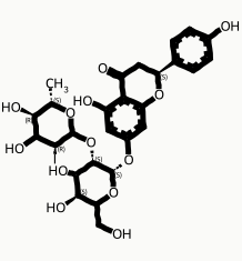 C[C@@H]1OC(O[C@H]2C(O)[C@H](O)C(CO)O[C@H]2Oc2cc(O)c3c(c2)O[C@H](c2ccc(O)cc2)CC3=O)[C@H](I)C(O)[C@H]1O